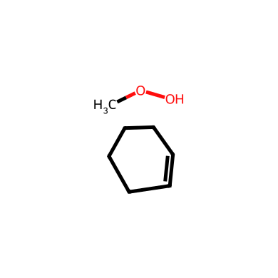 C1=CCCCC1.COO